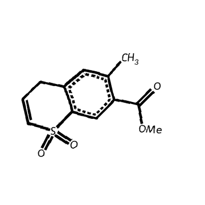 COC(=O)c1cc2c(cc1C)CC=CS2(=O)=O